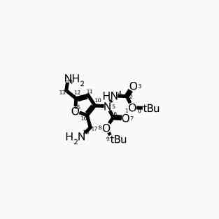 CC(C)(C)OC(=O)NN(C(=O)OC(C)(C)C)c1cc(CN)oc1CN